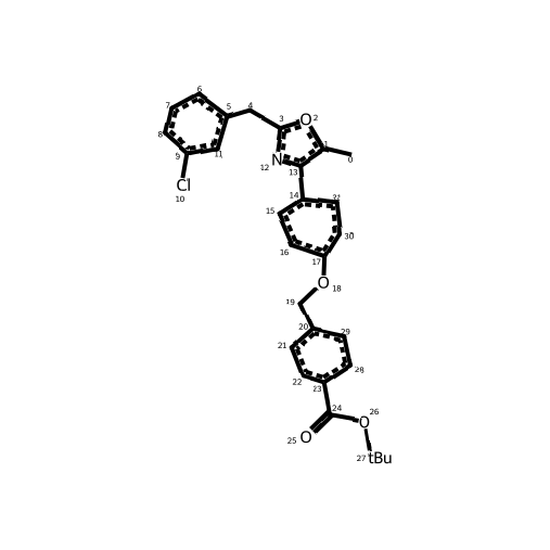 Cc1oc(Cc2cccc(Cl)c2)nc1-c1ccc(OCc2ccc(C(=O)OC(C)(C)C)cc2)cc1